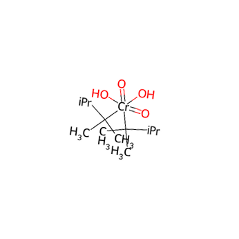 CC(C)[C](C)(C)[Cr](=[O])(=[O])([OH])([OH])[C](C)(C)C(C)C